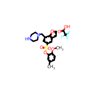 COc1ccc(C)cc1OS(=O)(=O)c1cc(CN2CCNCC2)c2occc2c1.O=C(O)C(F)(F)F